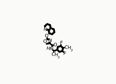 Cc1c(F)cc([C@@H](C)NC(=O)c2coc(Oc3cccc4cccnc34)n2)cc1F